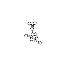 c1ccc(-c2cccc(-c3cccc4c3c3c5ccccc5c(-c5ccc(-n6c7ccccc7c7ccccc76)cc5)cc3n4-c3ccccc3)n2)cc1